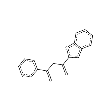 O=C(CC(=O)c1cc2ccccc2s1)c1cccnc1